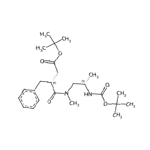 C[C@@H](CN(C)C(=O)[C@@H](CC(=O)OC(C)(C)C)Cc1ccccc1)NC(=O)OC(C)(C)C